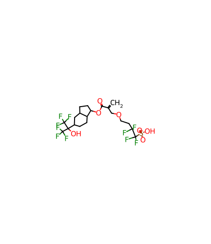 C=C(COCCC(F)(F)C(F)(F)S(=O)(=O)O)C(=O)OC1CCC2CC(C(O)(C(F)(F)F)C(F)(F)F)CCC21